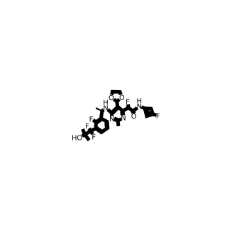 Cc1nc(N[C@H](C)c2cccc(C(F)(F)C(C)(C)O)c2F)c(C2OCCO2)c(C(F)C(=O)NC23CC(F)(C2)C3)n1